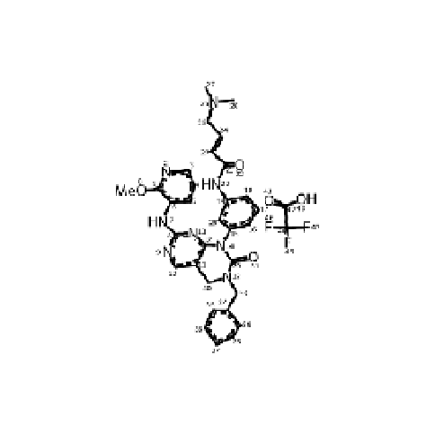 COc1ncccc1Nc1ncc2c(n1)N(c1cccc(NC(=O)/C=C/CN(C)C)c1)C(=O)N(Cc1ccccc1)C2.O=C(O)C(F)(F)F